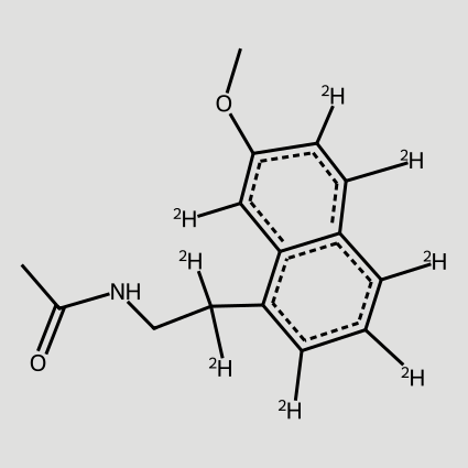 [2H]c1c([2H])c(C([2H])([2H])CNC(C)=O)c2c([2H])c(OC)c([2H])c([2H])c2c1[2H]